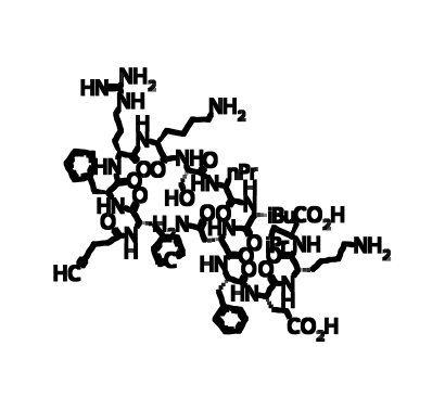 C#CCCC(=O)N[C@@H](Cc1ccccc1)C(=O)N[C@@H](Cc1ccccc1)C(=O)N[C@@H](CCCNC(=N)N)C(=O)N[C@@H](CCCCN)C(=O)N[C@@H](CO)C(=O)NC(CCC)C(=O)N[C@H](C(=O)N[C@@H](CC(N)=O)C(=O)N[C@@H](Cc1ccccc1)C(=O)N[C@@H](CCC(=O)O)C(=O)N[C@@H](CCCCN)C(=O)N[C@@H](CC(C)C)C(=O)O)[C@@H](C)CC